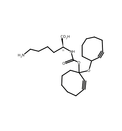 NCCCC[C@H](NC(=O)OC1(OC2C#CCCCCC2)C#CCCCCC1)C(=O)O